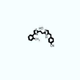 Cc1ccccc1-c1csc(CCc2ncc(Cc3ccc(C#N)cc3)[nH]2)n1.Cl